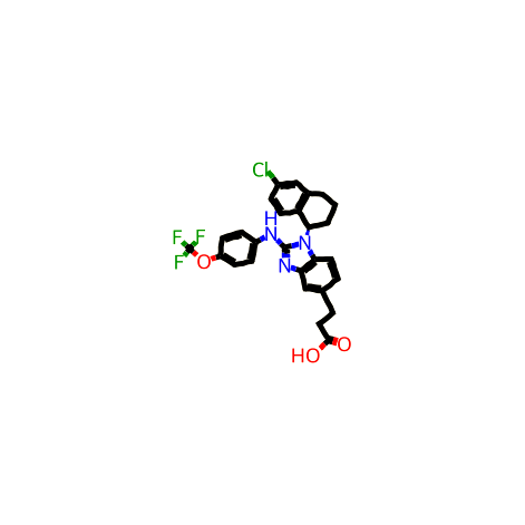 O=C(O)CCc1ccc2c(c1)nc(Nc1ccc(OC(F)(F)F)cc1)n2[C@@H]1CCCc2cc(Cl)ccc21